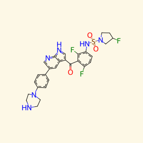 O=C(c1c(F)ccc(NS(=O)(=O)N2CCC(F)C2)c1F)c1c[nH]c2ncc(-c3ccc(N4CCNCC4)cc3)cc12